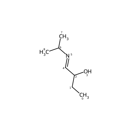 CCC(O)C=NC(C)C